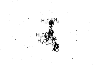 Cc1cc(COc2ccc(C[C@H](NC(=O)OCc3ccc4c(c3)CCO4)C(=O)N(CC(C)C)CC(C)C)cc2)nn1C